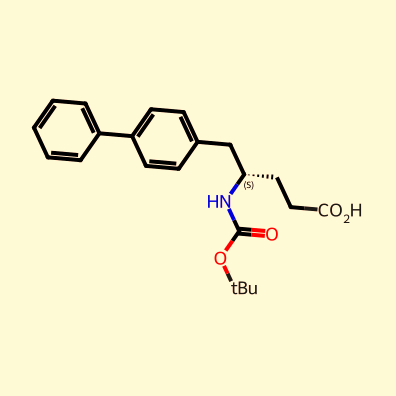 CC(C)(C)OC(=O)N[C@@H](CCC(=O)O)Cc1ccc(-c2ccccc2)cc1